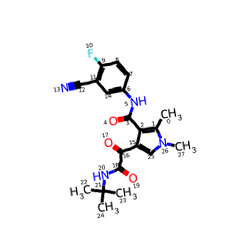 Cc1c(C(=O)Nc2ccc(F)c(C#N)c2)c(C(=O)C(=O)NC(C)(C)C)cn1C